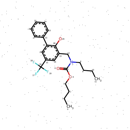 CCCCOC(=O)N(CCCC)Cc1cc(C(F)(F)F)cc(-c2ccccc2)c1[O]